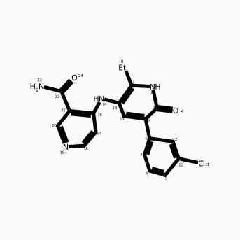 CCc1[nH]c(=O)c(-c2cccc(Cl)c2)cc1Nc1ccncc1C(N)=O